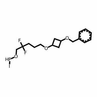 FC(F)(CCCOC1CC(OCc2ccccc2)C1)COPI